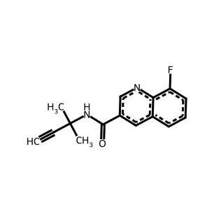 C#CC(C)(C)NC(=O)c1cnc2c(F)cccc2c1